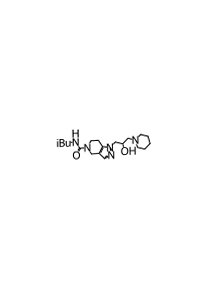 CCC(C)NC(=O)N1CCc2c(cnn2C[C@H](O)CN2CCCCC2)C1